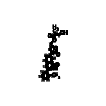 C[C@H](CO)C(=O)OC[C@@H]1CN(c2ccc3cc(-c4ccccc4C(F)(F)F)[nH]c(=O)c3c2)C(=O)O1